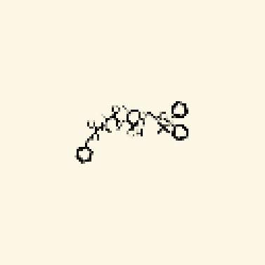 C[C@H](COCCO[Si](c1ccccc1)(c1ccccc1)C(C)(C)C)[C@@H](C(=O)O)N(C)C(=O)[C@@H](C)N(C)C(=O)OCc1ccccc1